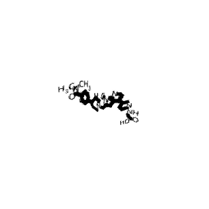 CN(C)C(=O)c1ccc(C2CCN(Cc3cc4c(-c5ccc(NCC(=O)O)nc5)ccnc4n3C)CC2)cc1